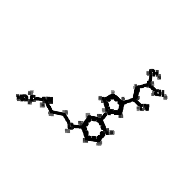 CN(C)C=C(C#N)c1cnn(-c2cc(OCCNC(=O)O)ccn2)c1